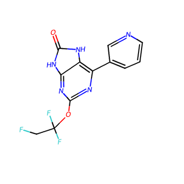 O=c1[nH]c2nc(OC(F)(F)CF)nc(-c3cccnc3)c2[nH]1